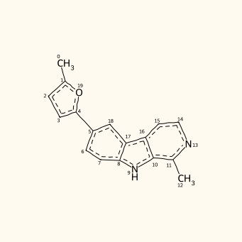 Cc1ccc(-c2ccc3[nH]c4c(C)nccc4c3c2)o1